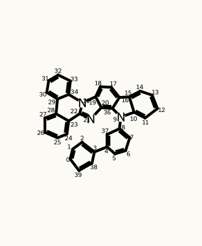 c1ccc(-c2cccc(-n3c4ccccc4c4ccc5c(nc6c7ccccc7c7ccccc7n56)c43)c2)cc1